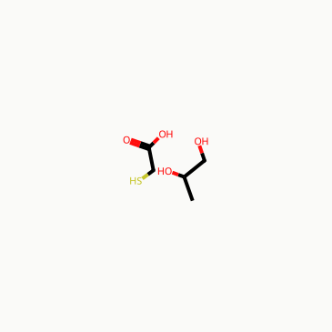 CC(O)CO.O=C(O)CS